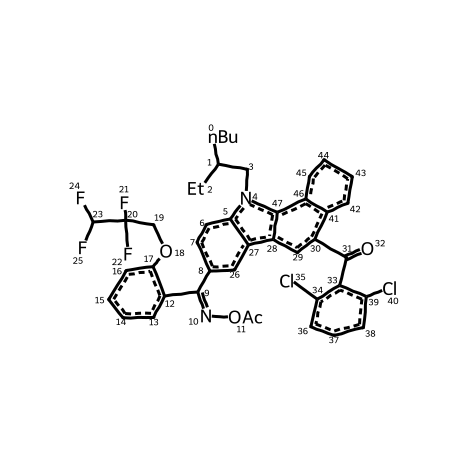 CCCCC(CC)Cn1c2ccc(/C(=N\OC(C)=O)c3ccccc3OCC(F)(F)C(F)F)cc2c2cc(C(=O)c3c(Cl)cccc3Cl)c3ccccc3c21